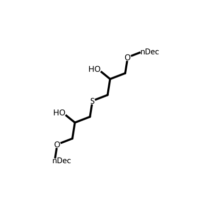 CCCCCCCCCCOCC(O)CSCC(O)COCCCCCCCCCC